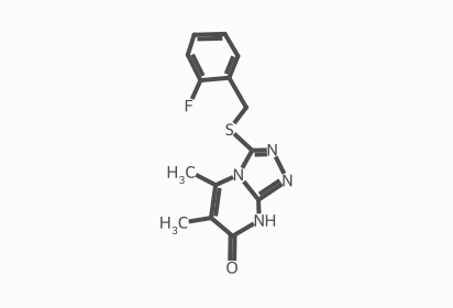 Cc1c(C)n2c(SCc3ccccc3F)nnc2[nH]c1=O